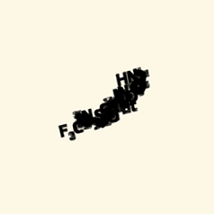 CCn1c(Oc2ccc3c(c2)NCC3)nnc1[C@@H](C)NS(=O)(=O)c1ccc(-c2cc(C(F)(F)F)n(C)n2)s1